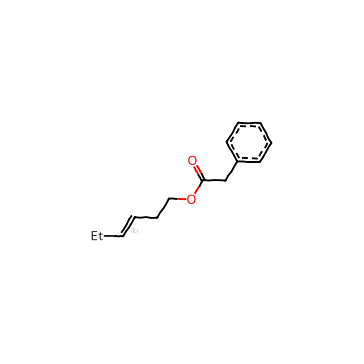 CC/C=C/CCOC(=O)Cc1ccccc1